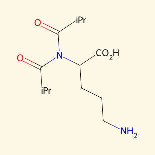 CC(C)C(=O)N(C(=O)C(C)C)C(CCCN)C(=O)O